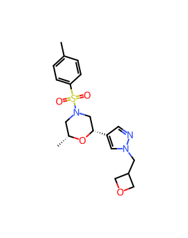 Cc1ccc(S(=O)(=O)N2C[C@@H](C)O[C@@H](c3cnn(CC4COC4)c3)C2)cc1